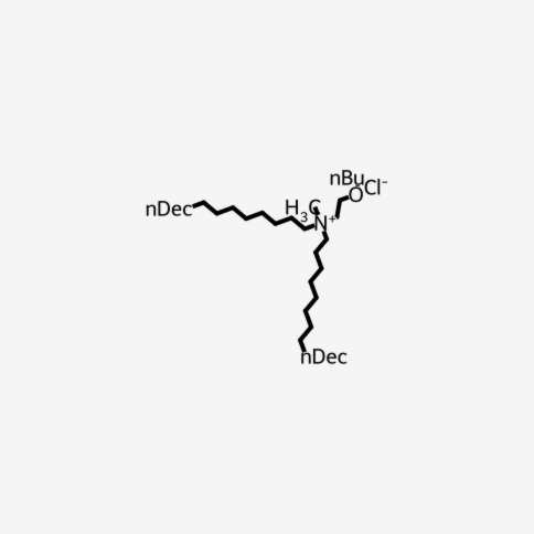 CCCCCCCCCCCCCCCCCC[N+](C)(CCCCCCCCCCCCCCCCCC)CCOCCCC.[Cl-]